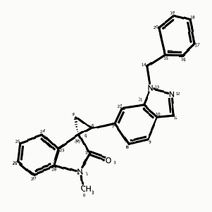 CN1C(=O)[C@@]2(CC2c2ccc3cnn(Cc4ccccc4)c3c2)c2ccccc21